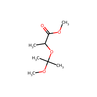 COC(=O)C(C)OC(C)(C)OC